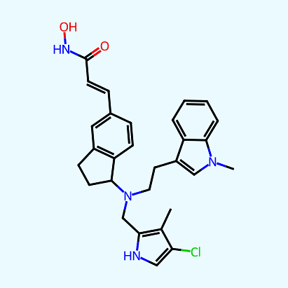 Cc1c(Cl)c[nH]c1CN(CCc1cn(C)c2ccccc12)C1CCc2cc(C=CC(=O)NO)ccc21